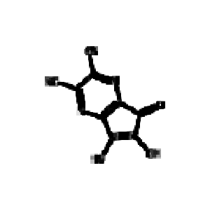 N#Cc1nc2c(nc1C#N)C(O)=C(O)C2=O